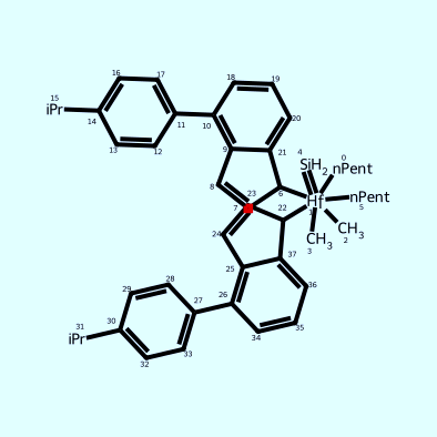 CCCC[CH2][Hf]([CH3])([CH3])(=[SiH2])([CH2]CCCC)([CH]1C=Cc2c(-c3ccc(C(C)C)cc3)cccc21)[CH]1C=Cc2c(-c3ccc(C(C)C)cc3)cccc21